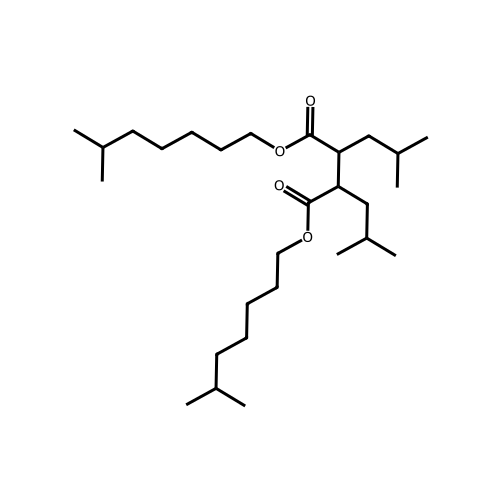 CC(C)CCCCCOC(=O)C(CC(C)C)C(CC(C)C)C(=O)OCCCCCC(C)C